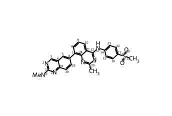 CNc1ncc2cc(-c3cccc4c(Nc5ccc(S(C)(=O)=O)cc5)nc(C)nc34)ccc2n1